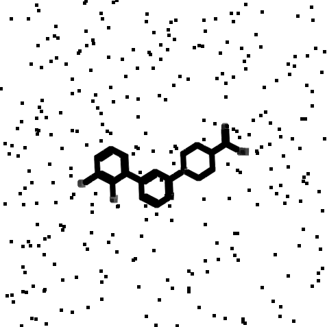 O=C(O)C1CCN(c2cc(-c3cccc(Cl)c3Cl)ccn2)CC1